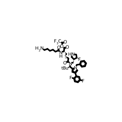 CC(C)(C)[C@H](c1cc(-c2cc(F)ccc2F)cn1Cc1ccccc1)N(C[C@@H]1CNC[C@@H]1F)C(=O)CSC[C@H](NC(=O)CCCCCN)C(=O)OC(=O)C(F)(F)F